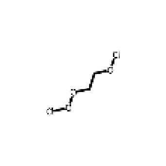 ClOCCOOCl